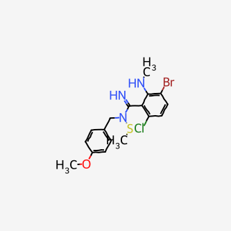 CNc1c(Br)ccc(Cl)c1C(=N)N(Cc1ccc(OC)cc1)SC